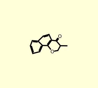 CC1COc2c(ccc3ccccc23)C1=O